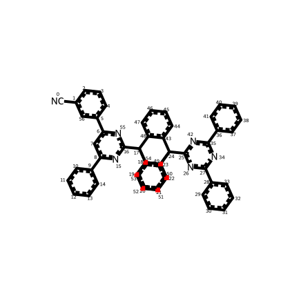 N#Cc1cccc(-c2cc(-c3ccccc3)nc(C34c5ccccc5C(c5nc(-c6ccccc6)nc(-c6ccccc6)n5)(c5ccccc53)c3ccccc34)n2)c1